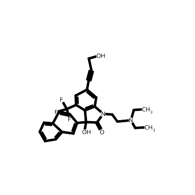 CCN(CC)CCN1C(=O)C(O)(c2ccc3ccccc3c2)c2c1cc(C#CCO)cc2C(F)(F)F